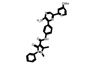 COc1ccnc(-c2cnc(N)c(-c3ccc(NC(=O)c4c(C)n(C)n(-c5ccccc5)c4=O)cc3)n2)c1